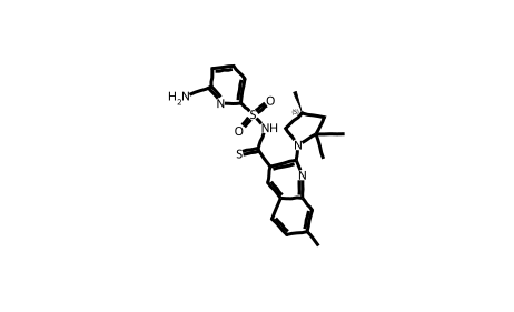 Cc1ccc2cc(C(=S)NS(=O)(=O)c3cccc(N)n3)c(N3C[C@@H](C)CC3(C)C)nc2c1